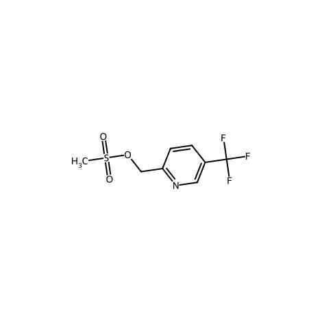 CS(=O)(=O)OCc1ccc(C(F)(F)F)cn1